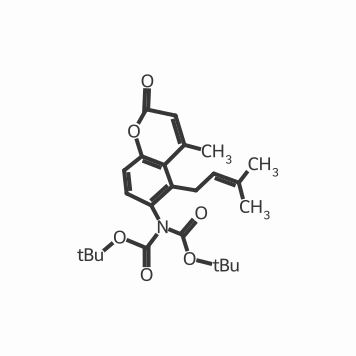 CC(C)=CCc1c(N(C(=O)OC(C)(C)C)C(=O)OC(C)(C)C)ccc2oc(=O)cc(C)c12